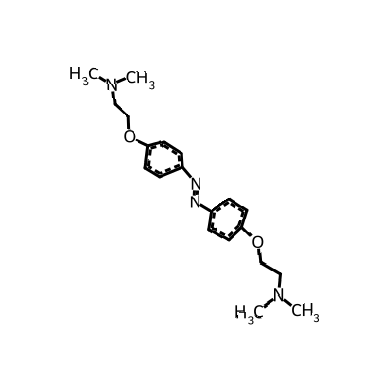 CN(C)CCOc1ccc(N=Nc2ccc(OCCN(C)C)cc2)cc1